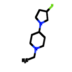 CCN1CCC(N2CCC(F)C2)CC1